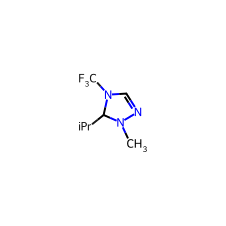 CC(C)C1N(C)N=CN1C(F)(F)F